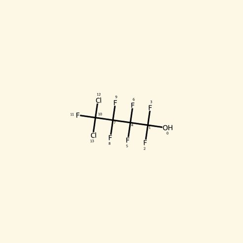 OC(F)(F)C(F)(F)C(F)(F)C(F)(Cl)Cl